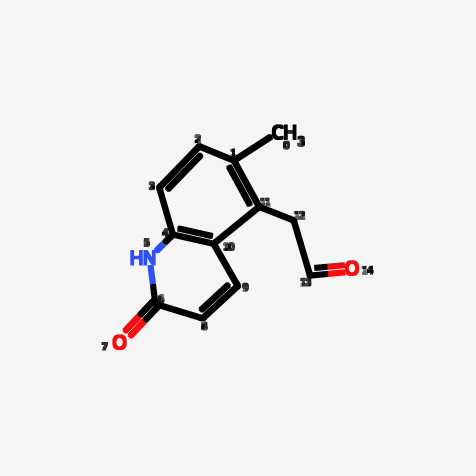 Cc1ccc2[nH]c(=O)ccc2c1CC=O